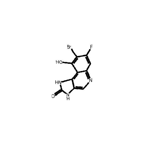 O=c1[nH]c2cnc3cc(F)c(Br)c(O)c3c2[nH]1